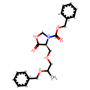 CC(COC[C@H]1C(=O)OCN1C(=O)OCc1ccccc1)OCc1ccccc1